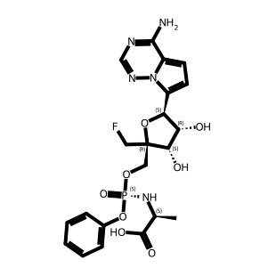 C[C@H](N[P@](=O)(OC[C@@]1(CF)O[C@@H](c2ccc3c(N)ncnn23)[C@H](O)[C@@H]1O)Oc1ccccc1)C(=O)O